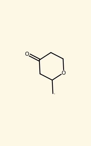 [CH2]C1CC(=O)CCO1